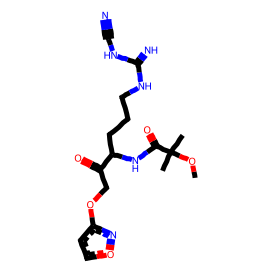 COC(C)(C)C(=O)NC(CCCNC(=N)NC#N)C(=O)COc1ccon1